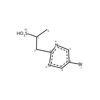 CC(Cc1ncc(Br)cn1)S(=O)(=O)O